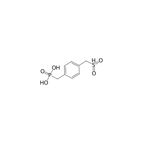 O=[SH](=O)Cc1ccc(CP(=O)(O)O)cc1